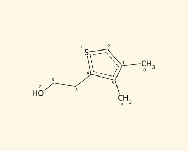 Cc1csc(CCO)c1C